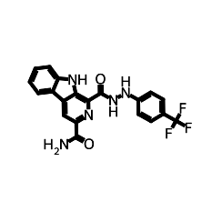 NC(=O)c1cc2c([nH]c3ccccc32)c(C(=O)NNc2ccc(C(F)(F)F)cc2)n1